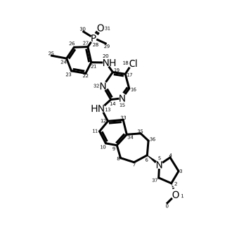 CO[C@H]1CCN([C@H]2CCc3ccc(Nc4ncc(Cl)c(Nc5ccc(C)cc5P(C)(C)=O)n4)cc3CC2)C1